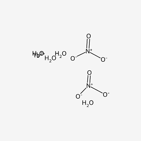 O.O.O.O.O=[N+]([O-])[O-].O=[N+]([O-])[O-].[Yb+2]